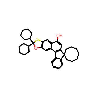 Oc1cc2c(c3cc4c(cc13)SC(C1CCCCC1)(C1CCCCC1)O4)-c1ccccc1C21CCCCCCC1